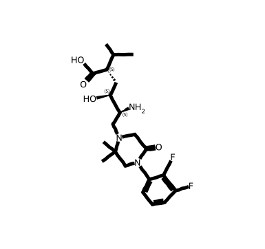 CC(C)[C@H](C[C@H](O)[C@@H](N)CN1CC(=O)N(c2cccc(F)c2F)CC1(C)C)C(=O)O